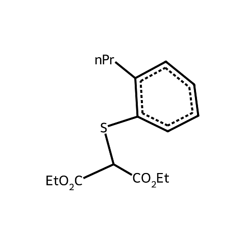 CCCc1ccccc1SC(C(=O)OCC)C(=O)OCC